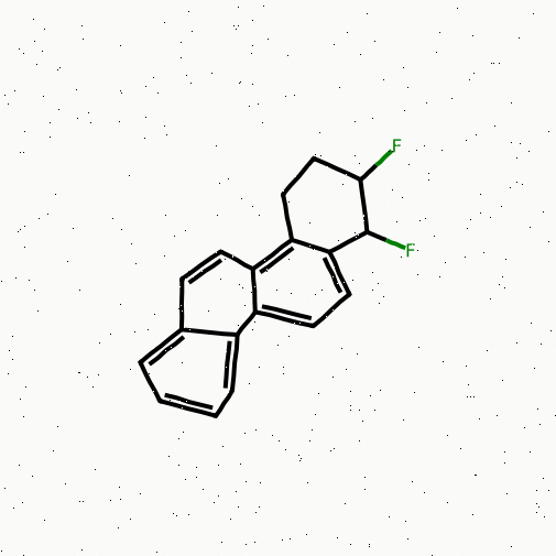 FC1CCc2c(ccc3c2ccc2ccccc23)C1F